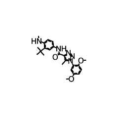 CNc1ccc(NC(=O)c2nnn(-c3cc(OC)ccc3OC)c2C)cc1C(C)(C)C